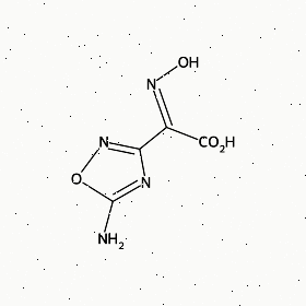 Nc1nc(C(=NO)C(=O)O)no1